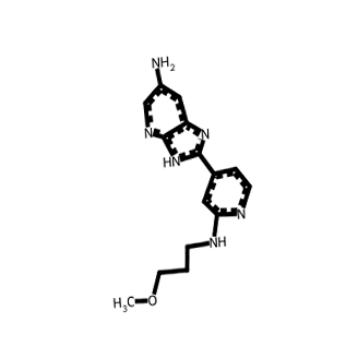 COCCCNc1cc(-c2nc3cc(N)cnc3[nH]2)ccn1